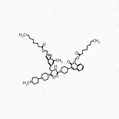 CCCCCCCC(=O)OCn1cc2cc(CC(NC(=O)N3CCC(c4cc5ccccc5n(COC(=O)CCCCCCC)c4=O)CC3)C(=O)N3CCN(C4CCN(C)CC4)CC3)cc(C)c2n1